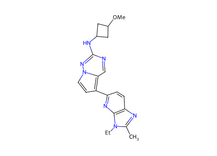 CCn1c(C)nc2ccc(-c3ccn4nc(NC5CC(OC)C5)ncc34)nc21